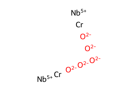 [Cr].[Cr].[Nb+5].[Nb+5].[O-2].[O-2].[O-2].[O-2].[O-2]